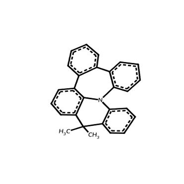 CC1(C)c2ccccc2N2c3ccccc3-c3ccccc3-c3cccc1c32